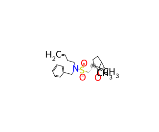 C=CCCN(Cc1ccccc1)S(=O)(=O)C[C@@]12CCC(CC1=O)C2(C)C